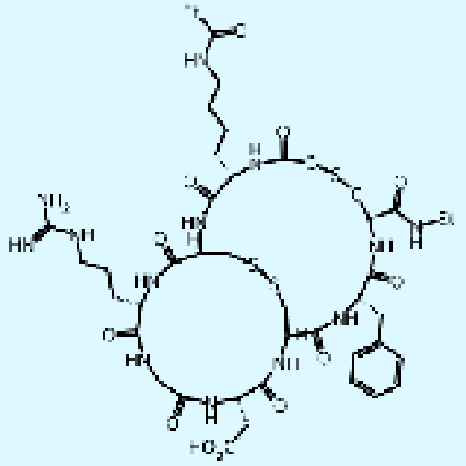 CCNC(=O)[C@@H]1CSCC(=O)N[C@@H](CCCCNC(=O)CC)C(=O)N[C@H]2CSSC[C@H](NC(=O)[C@H](CC(=O)O)NC(=O)CNC(=O)[C@H](CCCNC(=N)N)NC2=O)C(=O)N[C@@H](Cc2ccccc2)C(=O)N1